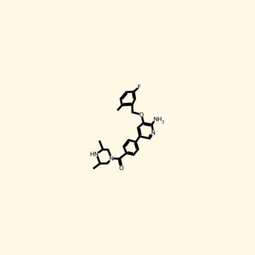 Cc1ccc(F)cc1COc1cc(-c2ccc(C(=O)N3CC(C)NC(C)C3)cc2)cnc1N